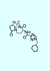 CN1C(=O)[C@@H](NC(=O)c2ncn(Cc3ccccc3)n2)CCn2c1cccc2=O